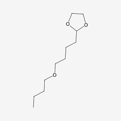 CCCCOCCCCC1OCCO1